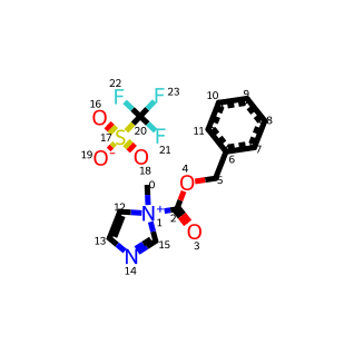 C[N+]1(C(=O)OCc2ccccc2)C=CN=C1.O=S(=O)([O-])C(F)(F)F